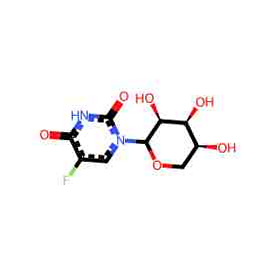 O=c1[nH]c(=O)n(C2OC[C@H](O)[C@H](O)[C@@H]2O)cc1F